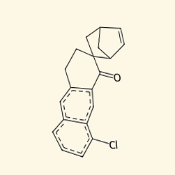 O=C1c2cc3c(Cl)cccc3cc2CCC12CC1C=CC2C1